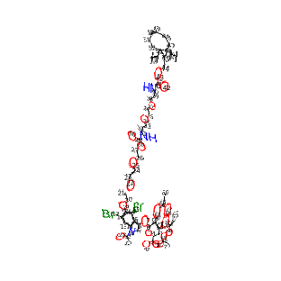 COC(=O)[C@H]1O[C@@H](Oc2cn(C(C)=O)c3cc(Br)c(OCCOCCOCCOC(=O)NCCOCCOCCNC(=O)OC[C@@H]4[C@@H]5CCC#CCC[C@@H]54)c(Br)c23)[C@H](OC(C)=O)[C@@H](OC(C)=O)[C@@H]1OC(C)=O